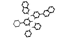 c1ccc(N2c3ccccc3B3c4cc(-c5ccc6ccccc6c5)ccc4N(c4ccc5ccccc5c4)c4cc(C5CCCCC5)cc2c43)cc1